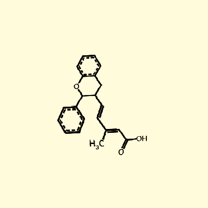 CC(/C=C/C1Cc2ccccc2OC1c1ccccc1)=C\C(=O)O